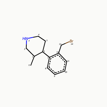 CC1CNCCC1c1ccccc1CBr